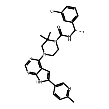 Cc1ccc(-c2cc3c(N4CCN(C(=O)N[C@@H](C)c5cccc(Cl)c5)C(C)(C)C4)ncnc3[nH]2)cn1